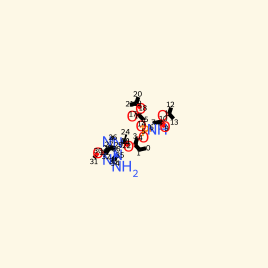 CCC(COP(NCC(=O)OC(C)C)OCC(=O)OC(C)C)O[C@H](C)n1cnc2c(OC)nc(N)nc21